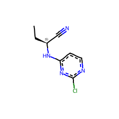 CC[C@@H](C#N)Nc1ccnc(Cl)n1